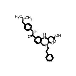 CN(C)Cc1ccc(NC(=O)c2ccc3c(c2)NC(CC(=O)O)C(=O)N(CCc2ccccc2)C3)cc1